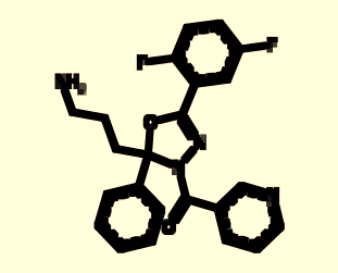 NCCCC1(c2ccccc2)OC(c2cc(F)ccc2F)=NN1C(=O)c1cccnc1